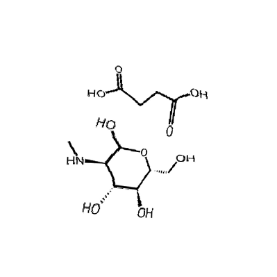 CN[C@H]1C(O)O[C@H](CO)[C@@H](O)[C@@H]1O.O=C(O)CCC(=O)O